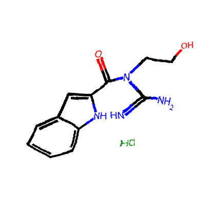 Cl.N=C(N)N(CCO)C(=O)c1cc2ccccc2[nH]1